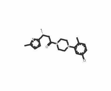 Cc1ccc([C@H](C)CC(=O)N2CCN(c3cc(Cl)ccc3C)CC2)s1